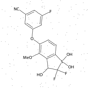 COc1c(Oc2cc(F)cc(C#N)c2)ccc2c1C(O)C(F)(F)S2(O)O